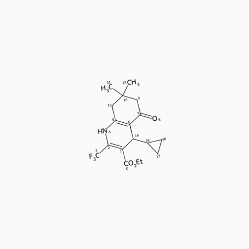 CCOC(=O)C1=C(C(F)(F)F)NC2=C(C(=O)CC(C)(C)C2)C1C1CC1